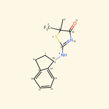 CC1(C(F)(F)F)SC(N[C@H]2CCc3ccccc32)=NC1=O